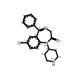 O=C1CN=C(c2ccccc2)c2cc(Cl)ccc2N1C1CCNCC1